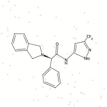 O=C(Nc1cc(C(F)(F)F)n[nH]1)[C@@H](c1ccccc1)N1Cc2ccccc2C1